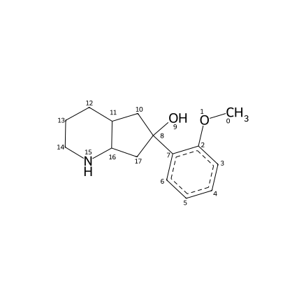 COc1ccccc1C1(O)CC2CCCNC2C1